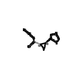 [N-]=[N+]=NC(=O)[C@H]1C[C@@H]1c1cncs1